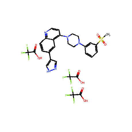 CS(=O)(=O)c1cccc(N2CCN(c3ccnc4ccc(-c5cn[nH]c5)cc34)CC2)c1.O=C(O)C(F)(F)F.O=C(O)C(F)(F)F.O=C(O)C(F)(F)F